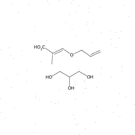 C=CCOC=C(C)C(=O)O.OCC(O)CO